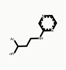 CCCC(CCNc1cnccn1)C(C)=O